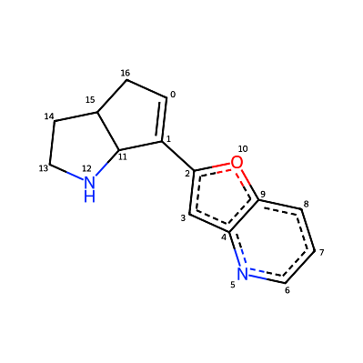 C1=C(c2cc3ncccc3o2)C2NCCC2C1